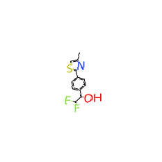 Cc1csc(-c2ccc(C(O)C(F)F)cc2)n1